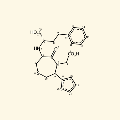 O=C(O)CN1C(=O)C(N[C@@H](CCc2ccccc2)C(=O)O)CSCC1c1cccs1